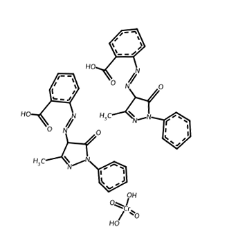 CC1=NN(c2ccccc2)C(=O)C1N=Nc1ccccc1C(=O)O.CC1=NN(c2ccccc2)C(=O)C1N=Nc1ccccc1C(=O)O.[O]=[Cr](=[O])([OH])[OH]